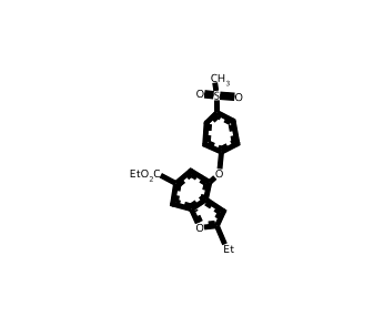 CCOC(=O)c1cc(Oc2ccc(S(C)(=O)=O)cc2)c2cc(CC)oc2c1